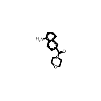 Nc1cccc2cc(C(=O)N3CCOCC3)ccc12